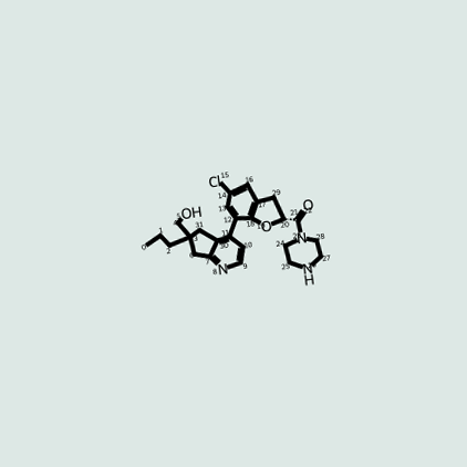 CCCC1(CO)Cc2nccc(-c3cc(Cl)cc4c3O[C@@H](C(=O)N3CCNCC3)C4)c2C1